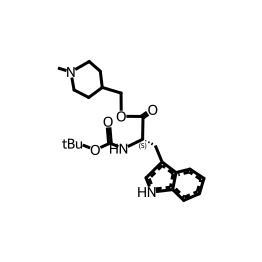 CN1CCC(COC(=O)[C@H](Cc2c[nH]c3ccccc23)NC(=O)OC(C)(C)C)CC1